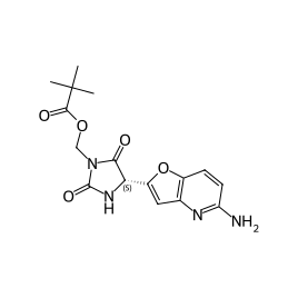 CC(C)(C)C(=O)OCN1C(=O)N[C@@H](c2cc3nc(N)ccc3o2)C1=O